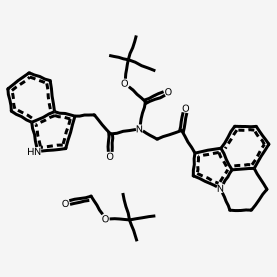 CC(C)(C)OC(=O)N(CC(=O)c1cn2c3c(cccc13)CCC2)C(=O)Cc1c[nH]c2ccccc12.CC(C)(C)OC=O